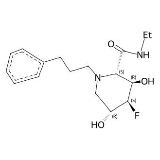 CCNC(=O)[C@@H]1[C@@H](O)[C@@H](F)[C@H](O)CN1CCCc1ccccc1